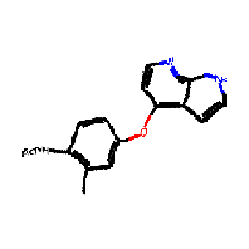 CC(=O)Nc1ccc(Oc2ccnc3[nH]ccc23)cc1C